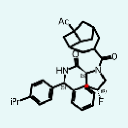 CC(=O)C12CC3CC(C(=O)N4C[C@H](F)C[C@H]4C(=O)N[C@@H](c4ccccc4)c4ccc(C(C)C)cc4)CC(C1)C2C3